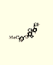 COc1cc(COc2cc(C)c(-c3cccc(CO)c3)c3c2CC3)ccn1